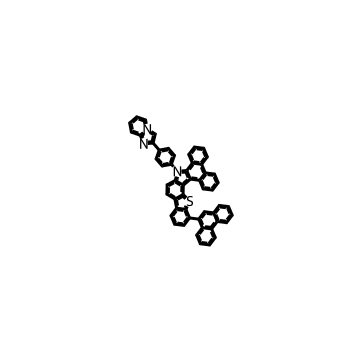 c1ccc2c(c1)cc(-c1cccc3c1sc1c3ccc3c1c1c4ccccc4c4ccccc4c1n3-c1ccc(-c3cn4ccccc4n3)cc1)c1ccccc12